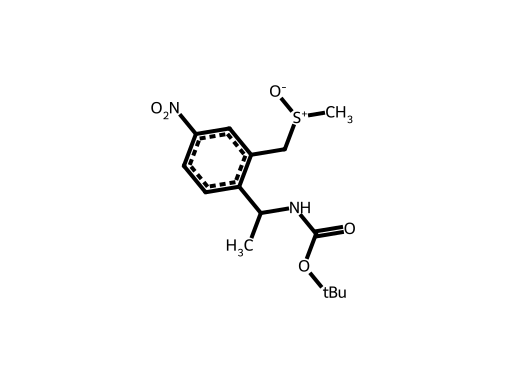 CC(NC(=O)OC(C)(C)C)c1ccc([N+](=O)[O-])cc1C[S+](C)[O-]